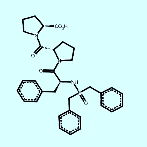 O=C(O)[C@@H]1CCCN1C(=O)[C@@H]1CCCN1C(=O)[C@H](Cc1ccccc1)NP(=O)(Cc1ccccc1)Cc1ccccc1